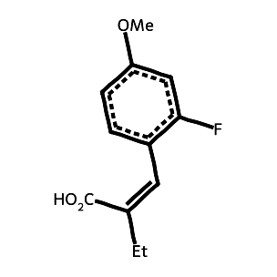 CCC(=Cc1ccc(OC)cc1F)C(=O)O